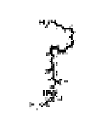 CCCCC/C=C\C/C=C\C/C=C\C/C=C\CCCC(=O)OCC(O)COP(=O)(O)OCCN